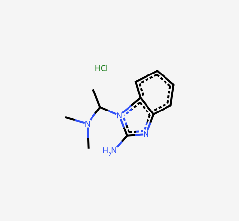 CC(N(C)C)n1c(N)nc2ccccc21.Cl